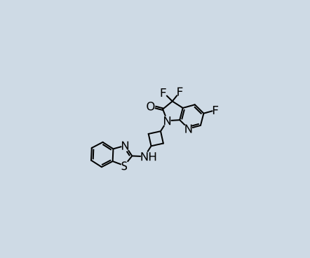 O=C1N(C2CC(Nc3nc4ccccc4s3)C2)c2ncc(F)cc2C1(F)F